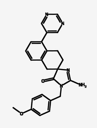 COc1ccc(CN2C(=O)C3(CCc4c(cccc4-c4cncnc4)C3)N=C2N)cc1